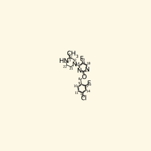 C[C@H]1CN(c2nc(OCc3ccc(Cl)cc3F)ncc2F)CCN1